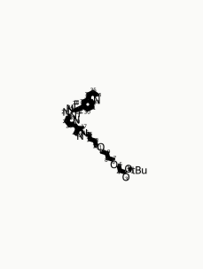 CC(C)(C)OC(=O)CCOCCCCOCCCCn1cc(-c2ccc3nnc(C(F)(F)c4ccc5ncccc5c4)n3n2)cn1